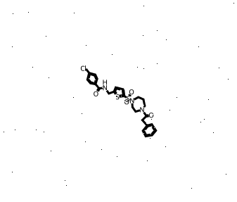 O=C(NCc1ccc(S(=O)(=O)N2CCCN(C(=O)Cc3ccccc3)CC2)s1)c1ccc(Cl)cc1